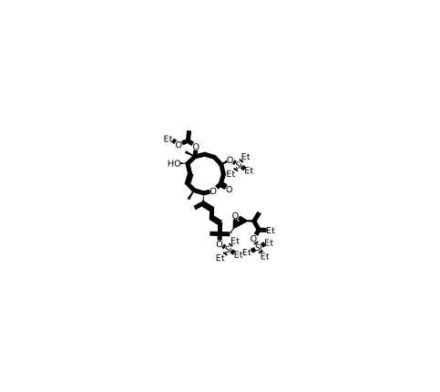 CCOC(C)O[C@]1(C)CC[C@@H](O[Si](CC)(CC)CC)CC(=O)O[C@H](/C(C)=C/C=C/C(C)(C[C@@H]2O[C@H]2C(C)C(CC)O[Si](CC)(CC)CC)O[Si](CC)(CC)CC)[C@@H](C)/C=C/[C@@H]1O